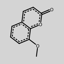 COc1cccc2ccc(=O)oc12